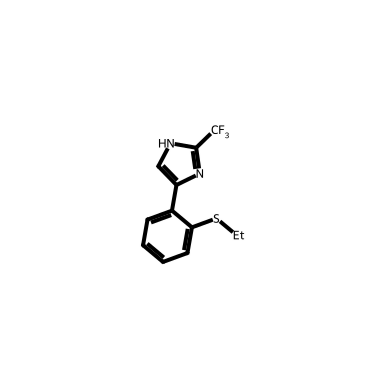 CCSc1ccccc1-c1c[nH]c(C(F)(F)F)n1